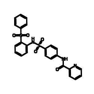 O=C(Nc1ccc(S(=O)(=O)Nc2ccccc2S(=O)(=O)c2ccccc2)cc1)c1ccccn1